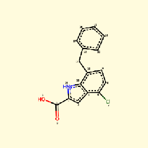 O=C(O)c1cc2c(Cl)ccc(Cc3ccccc3)c2[nH]1